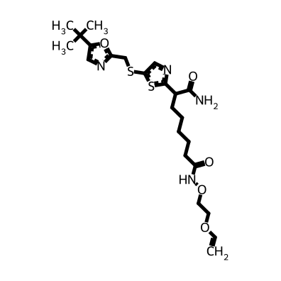 C=COCCONC(=O)CCCCCC(C(N)=O)c1ncc(SCc2ncc(C(C)(C)C)o2)s1